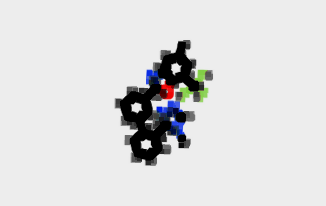 Cc1cc(C(F)(F)F)c2oc(-c3cccc(-c4ccccc4-c4nncn4C)c3)nc2c1